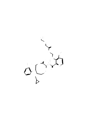 CCOCC(=O)OCOc1c(OC)ccnc1C(=O)N[C@H]1COC[C@H](CC2CC2)[C@@H](c2ccccc2)[C@H](C)OC1=O